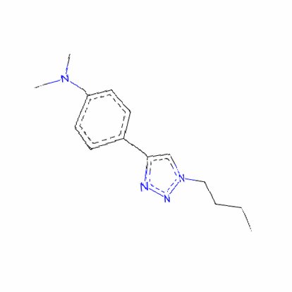 CCCCn1cc(-c2ccc(N(C)C)cc2)nn1